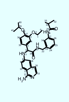 CCOc1cc(C(Nc2ccc3c(N)nccc3c2)C(=O)NCc2cccc(NC(=O)C(C)C)c2)ccc1OC(C)C